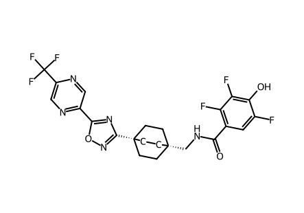 O=C(NC[C@]12CC[C@](c3noc(-c4cnc(C(F)(F)F)cn4)n3)(CC1)CC2)c1cc(F)c(O)c(F)c1F